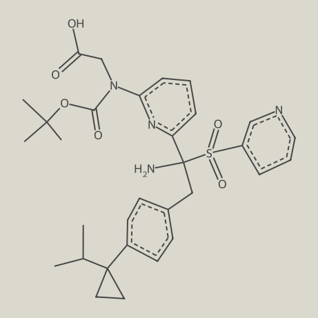 CC(C)C1(c2ccc(CC(N)(c3cccc(N(CC(=O)O)C(=O)OC(C)(C)C)n3)S(=O)(=O)c3cccnc3)cc2)CC1